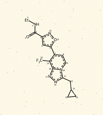 CCNC(=O)c1cc(-c2ccn3c(CC4CC4)nnc3c2C(F)(F)F)on1